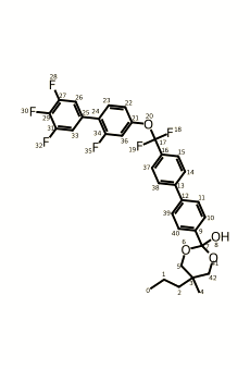 CCCC1(C)COC(O)(c2ccc(-c3ccc(C(F)(F)Oc4ccc(-c5cc(F)c(F)c(F)c5)c(F)c4)cc3)cc2)OC1